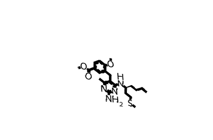 CCCC[C@@H](CCSC)Nc1nc(N)nc(C)c1Cc1cc(C(=O)OC)ccc1OC